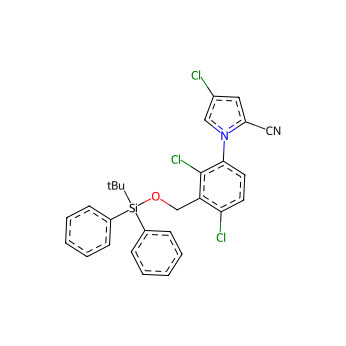 CC(C)(C)[Si](OCc1c(Cl)ccc(-n2cc(Cl)cc2C#N)c1Cl)(c1ccccc1)c1ccccc1